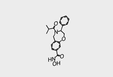 CC(C)C(=O)N1Cc2ccc(C(=O)NO)cc2OCC1c1ccccc1